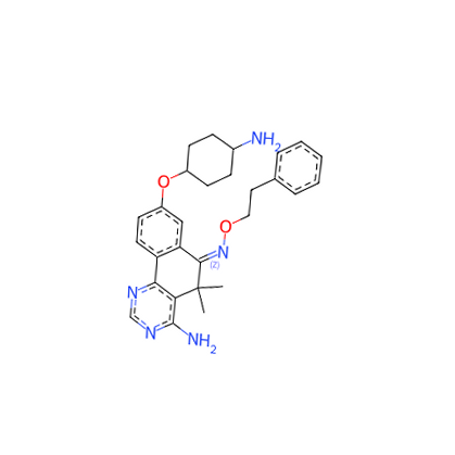 CC1(C)/C(=N/OCCc2ccccc2)c2cc(OC3CCC(N)CC3)ccc2-c2ncnc(N)c21